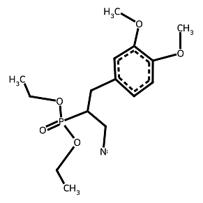 CCOP(=O)(OCC)C(C[N])Cc1ccc(OC)c(OC)c1